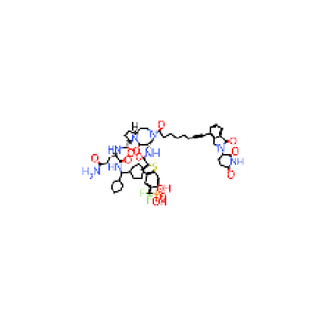 NC(=O)CC[C@H](NC(=O)[C@@H]1CC[C@@H]2CCN(C(=O)CCCCCC#Cc3cccc4c3CN(C3CCC(=O)NC3=O)C4=O)C[C@H](NC(=O)c3cc4cc(C(F)(F)P(=O)(O)O)ccc4s3)C(=O)N21)C(=O)NC(C1CCCCC1)C1CCCCC1